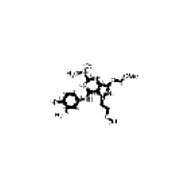 CCOCCn1nc(OCOC)c2nc(N(C)CC)nc(Nc3ccc(F)c(C)c3)c21